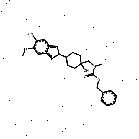 COc1cc2c(cc1N)=CC(C1CCC(O)(CN(C)C(=O)OCc3ccccc3)CC1)N=2